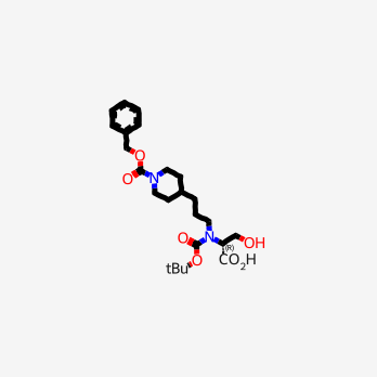 CC(C)(C)OC(=O)N(CCCC1CCN(C(=O)OCc2ccccc2)CC1)[C@H](CO)C(=O)O